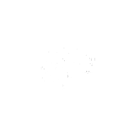 COc1n[nH]c2ccc(C(=O)N(C)[C@H]3COCc4[nH]c(=O)c5cc(F)c(F)cc5c43)cc12